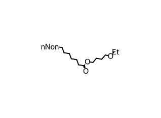 CCCCCCCCCCCCCCCC(=O)OCCCCOCC